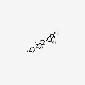 Cc1cn2cc(-c3ccc4c(=O)n(C5CCNCC5)cnc4n3)cc(C#N)c2n1